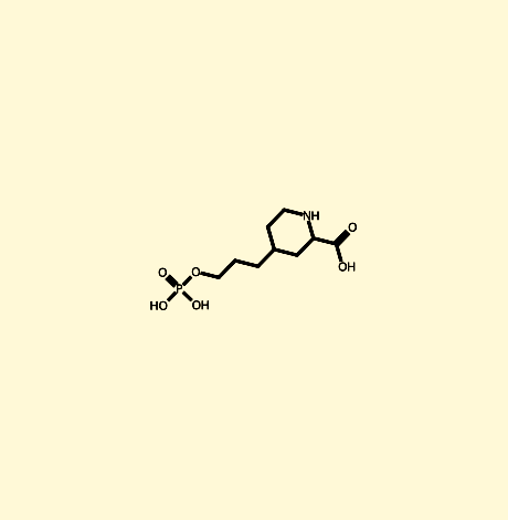 O=C(O)C1CC(CCCOP(=O)(O)O)CCN1